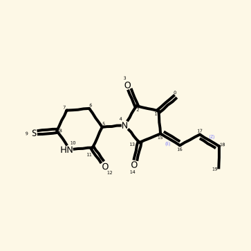 C=C1C(=O)N(C2CCC(=S)NC2=O)C(=O)/C1=C/C=C\C